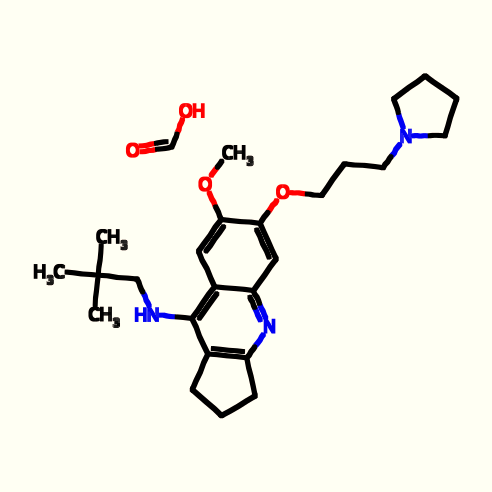 COc1cc2c(NCC(C)(C)C)c3c(nc2cc1OCCCN1CCCC1)CCC3.O=CO